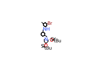 Cc1cc(Br)cc(NCc2cccc(CN3CCC(O[Si](C)(C)C(C)(C)C)C[C@H]3CO[Si](C)(C)C(C)(C)C)c2)c1